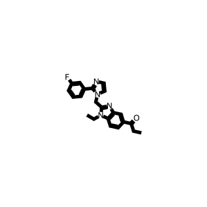 CCC(=O)c1ccc2c(c1)nc(Cn1ccnc1-c1cccc(F)c1)n2CC